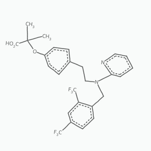 CC(C)(Oc1ccc(CCN(Cc2ccc(C(F)(F)F)cc2C(F)(F)F)c2ccccn2)cc1)C(=O)O